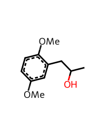 COc1ccc(OC)c(CC(C)O)c1